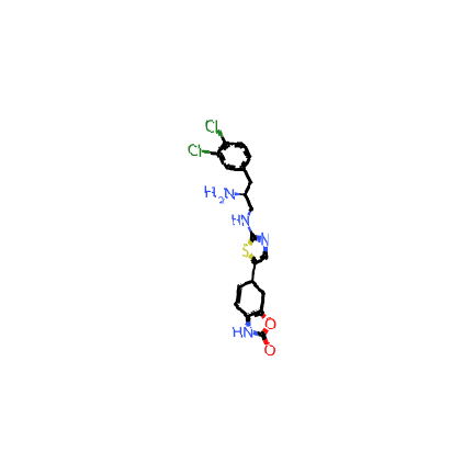 N[C@H](CNc1ncc(C2C=Cc3[nH]c(=O)oc3C2)s1)Cc1ccc(Cl)c(Cl)c1